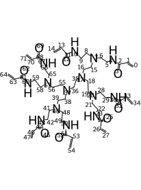 C=CC(=O)NCCN(CCNC(=O)C=C)CCN(CCN(CCNC(=O)C=C)CCNC(=O)C=C)CCN(CCN(CCNC(=O)C=C)CCNC(=O)C=C)CCN(CCNC(=O)C=C)CCNC(=O)C=C